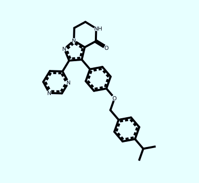 CC(C)c1ccc(COc2ccc(-c3c(-c4ccncn4)nn4c3C(=O)NCC4)cc2)cc1